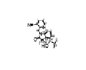 N#Cc1cccnc1CN1C(=O)C(F)(F)c2c(C(O)C(F)F)cccc21